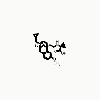 COc1ccc2c(c1)[C@]1(CCNC3(C(=O)O)CC3)CCN(CC3CC3)[C@H](C2)[C@@H]1C